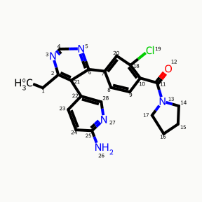 CCc1ncnc(-c2ccc(C(=O)N3CCCC3)c(Cl)c2)c1-c1ccc(N)nc1